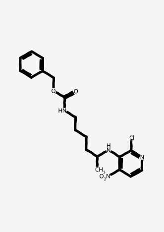 CC(CCCCNC(=O)OCc1ccccc1)Nc1c([N+](=O)[O-])ccnc1Cl